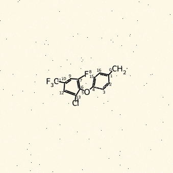 [CH2]c1ccc(Oc2c(F)cc(C(F)(F)F)cc2Cl)cc1